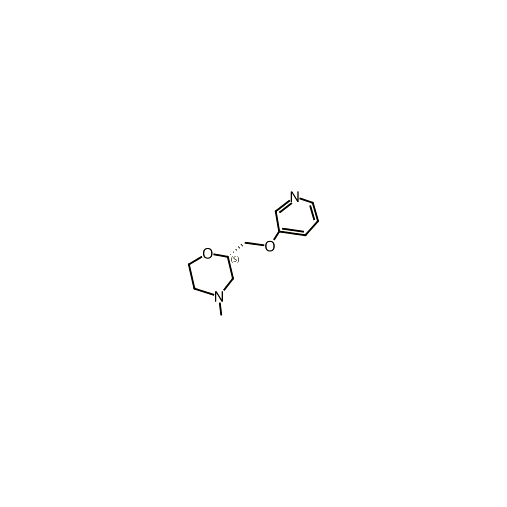 CN1CCO[C@H](COc2cccnc2)C1